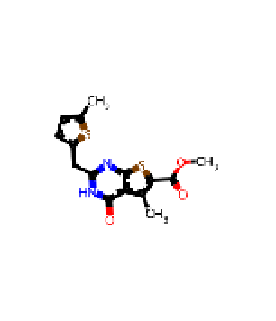 COC(=O)c1sc2nc(Cc3ccc(C)s3)[nH]c(=O)c2c1C